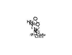 CCCC(OC)(OC)c1nc(Cc2ccc(-c3ccccc3-c3nnn[nH]3)cc2)n(CC)n1